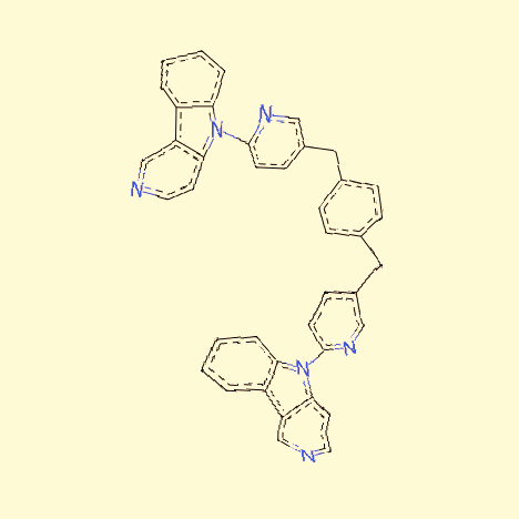 c1ccc2c(c1)c1cnccc1n2-c1ccc(Cc2ccc(Cc3ccc(-n4c5ccccc5c5cnccc54)nc3)cc2)cn1